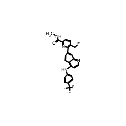 CNC(=O)c1ccc(CF)c(-c2ccc3c(Nc4ccc(C(F)(F)F)cc4)ccnc3c2)n1